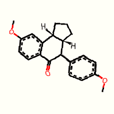 COc1ccc(C2C(=O)c3ccc(OC)cc3[C@@H]3CCC[C@H]23)cc1